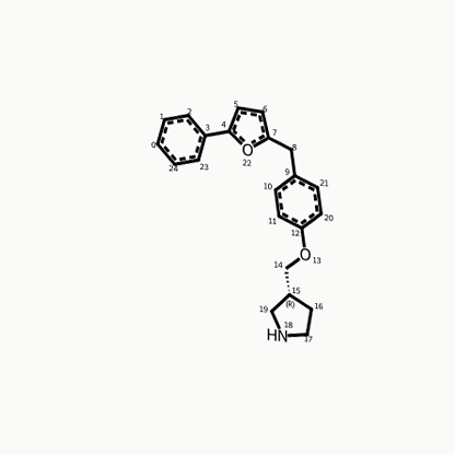 c1ccc(-c2ccc(Cc3ccc(OC[C@@H]4CCNC4)cc3)o2)cc1